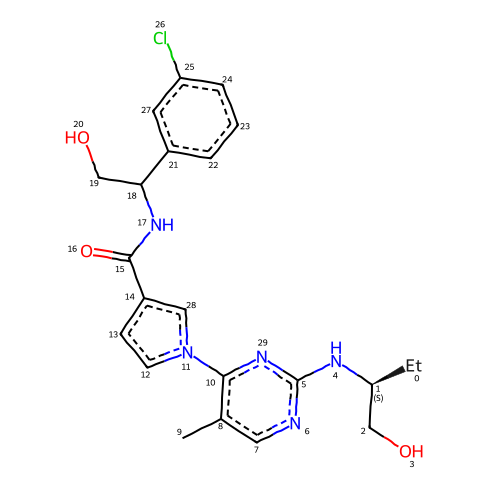 CC[C@@H](CO)Nc1ncc(C)c(-n2ccc(C(=O)NC(CO)c3cccc(Cl)c3)c2)n1